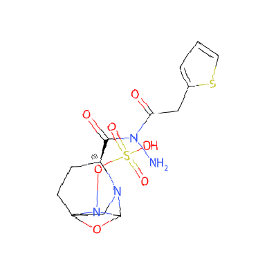 NN(C(=O)Cc1cccs1)C(=O)[C@@H]1CCC23CN1C(O2)N3OS(=O)(=O)O